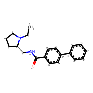 CCN1CCC[C@H]1CNC(=O)c1ccc(-c2ccccc2)cc1